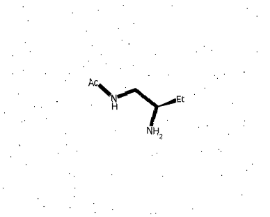 CC[C@@H](N)CNC(C)=O